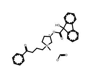 C[N+]1(CCCC(=O)c2ccccc2)CC[C@@H](OC(=O)C2(O)c3ccccc3-c3ccccc32)C1.O=C[O-]